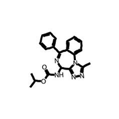 Cc1nnc2n1-c1ccccc1C(c1ccccc1)=NC2NC(=O)OC(C)C